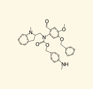 CNc1ccc(COC(=O)N(CC2Cc3ccccc3N2C)c2cc(OCc3ccccc3)c(OC)cc2C=O)cc1